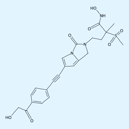 CC(CCN1Cc2cc(C#Cc3ccc(C(=O)CO)cc3)cn2C1=O)(C(=O)NO)S(C)(=O)=O